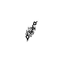 Cc1ccc(Cc2nnc(C(=O)N[C@H]3COc4ccc(F)cc4N(C)C3=O)[nH]2)cc1